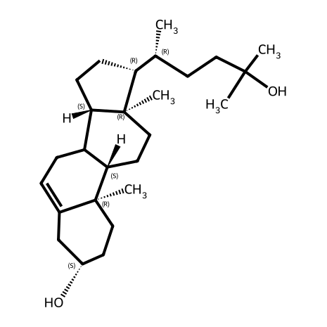 C[C@H](CCC(C)(C)O)[C@H]1CC[C@H]2C3CC=C4C[C@@H](O)CC[C@]4(C)[C@H]3CC[C@]12C